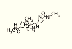 CCCNC(=O)c1ccc(-c2cc(NC[C@@H](C)c3ccc(C(=O)NC)cc3OC)ncn2)cn1